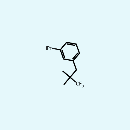 CC(C)c1cccc(CC(C)(C)C(F)(F)F)c1